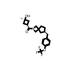 C[C@]1(O)C[C@@H](C(=O)N2CC3(CC[C@@H](Cc4ccc(OC(F)(F)F)cc4)C3)C2)C1